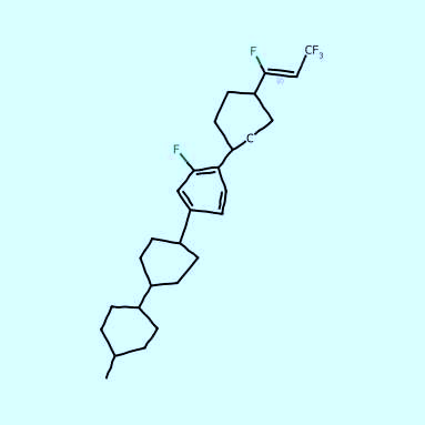 CC1CCC(C2CCC(c3ccc(C4CCC(/C(F)=C/C(F)(F)F)CC4)c(F)c3)CC2)CC1